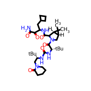 CC(C)(C)[C@H](NC(=O)N[C@H](CN1CCCCC1=O)C(C)(C)C)C(=O)N1C[C@H]2[C@@H](C1C(=O)NC(CC1CCC1)C(=O)C(N)=O)C2(C)C